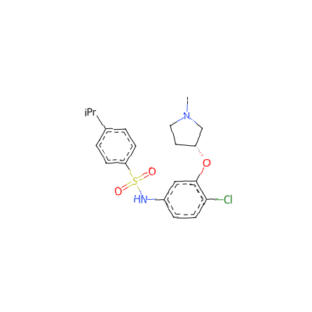 CC(C)c1ccc(S(=O)(=O)Nc2ccc(Cl)c(O[C@@H]3CCN(C)C3)c2)cc1